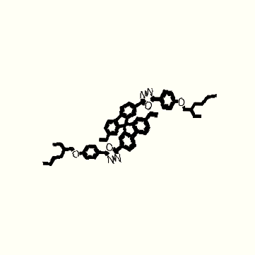 C=Cc1ccc2c(c1)C1(c3cc(C=C)ccc3-c3ccc(-c4nnc(-c5ccc(OCC(CC)CCCC)cc5)o4)cc31)c1cc(-c3nnc(-c4ccc(OCC(CC)CCCC)cc4)o3)ccc1-2